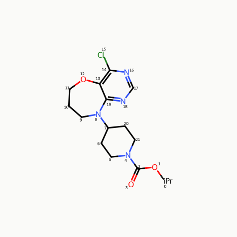 CC(C)OC(=O)N1CCC(N2CCCOc3c(Cl)ncnc32)CC1